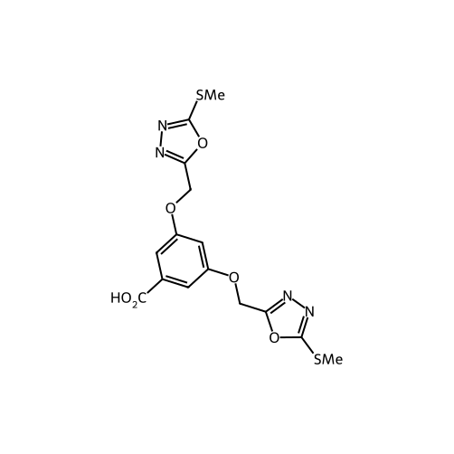 CSc1nnc(COc2cc(OCc3nnc(SC)o3)cc(C(=O)O)c2)o1